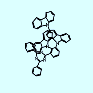 c1ccc(-c2nc(-c3ccccc3)nc(-c3cccc(-n4c5ccccc5c5cc(-n6c7ccccc7c7ccccc76)ccc54)c3-n3c4ccccc4c4ccccc43)n2)cc1